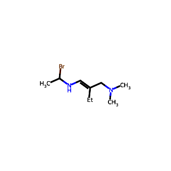 CC/C(=C\NC(C)Br)CN(C)C